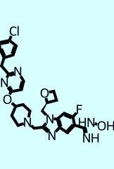 N=C(NO)c1cc2nc(CN3CCC(Oc4ccnc(Cc5ccc(Cl)cc5)n4)CC3)n(C[C@@H]3CCO3)c2cc1F